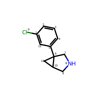 Clc1cccc(C23CNCC2C3)c1